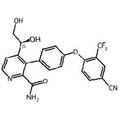 N#Cc1ccc(Oc2ccc(-c3c([C@H](O)CO)ccnc3C(N)=O)cc2)c(C(F)(F)F)c1